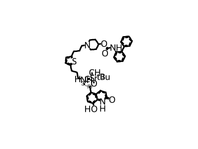 CC(C)(C)[Si](C)(C)O[C@@H](CNCCCc1ccc(CCCN2CCC(OC(=O)Nc3ccccc3-c3ccccc3)CC2)s1)c1ccc(O)c2[nH]c(=O)ccc12